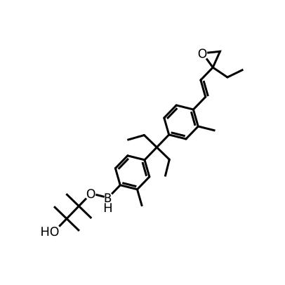 CCC1(/C=C/c2ccc(C(CC)(CC)c3ccc(BOC(C)(C)C(C)(C)O)c(C)c3)cc2C)CO1